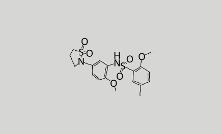 COc1ccc(N2CCCS2(=O)=O)cc1NS(=O)(=O)c1cc(C)ccc1OC